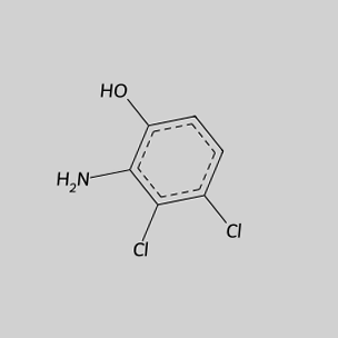 Nc1c(O)ccc(Cl)c1Cl